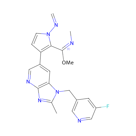 C=Nn1ccc(-c2cnc3nc(C)n(Cc4cncc(F)c4)c3c2)c1/C(=N\C)OC